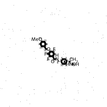 C=C(NO)[C@]12CC[C@](CNC(=O)c3cc(F)c(OCc4ccc(OC)cc4)c(F)c3F)(CC1)CC2